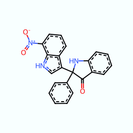 O=C1c2ccccc2NC1(c1ccccc1)c1c[nH]c2c([N+](=O)[O-])cccc12